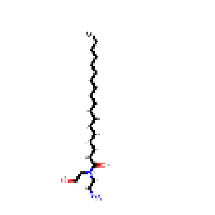 CCCCCCCCCCCCCCCCCC(=O)N(CCN)CCO